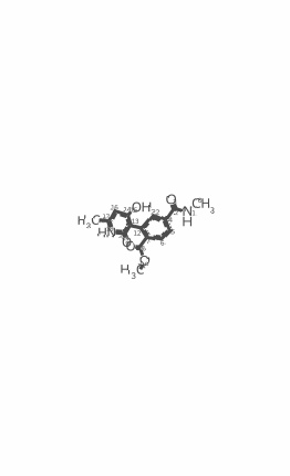 CNC(=O)c1ccc(C(=O)OC)c(-c2c(O)cc(C)[nH]c2=O)c1